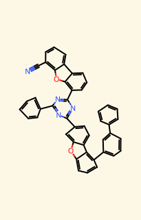 N#Cc1cccc2c1oc1c(-c3nc(-c4ccccc4)nc(-c4ccc5c(c4)oc4cccc(-c6cccc(-c7ccccc7)c6)c45)n3)cccc12